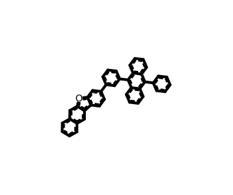 c1ccc(-c2c3ccccc3c(-c3cccc(-c4ccc5c(c4)oc4cc6ccccc6cc45)c3)c3ccccc23)cc1